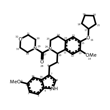 COc1ccc2[nH]cc(CCC3c4cc(OC)c(OC5CCCC5)cc4CCN3C(=O)N3CCOCC3)c2c1